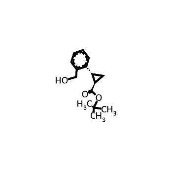 CC(C)(C)OC(=O)[C@@H]1C[C@H]1c1ccccc1CO